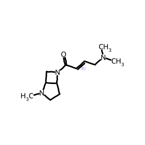 CN(C)C/C=C/C(=O)N1CC2C1CCN2C